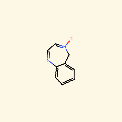 [O-][N+]1=CC=Nc2ccccc2C1